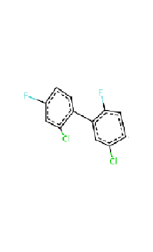 Fc1ccc(-c2cc(Cl)[c]cc2F)c(Cl)c1